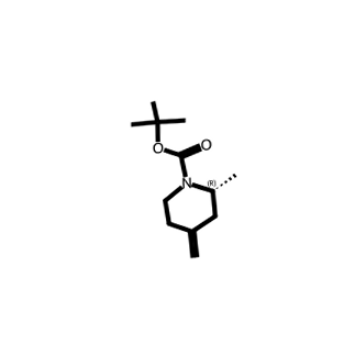 C=C1CCN(C(=O)OC(C)(C)C)[C@H](C)C1